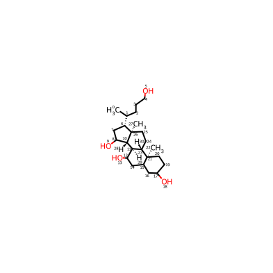 CC(CCCO)[C@H]1CC(O)[C@H]2[C@@H]3C(O)CC4CC(O)CC[C@]4(C)[C@H]3CC[C@]12C